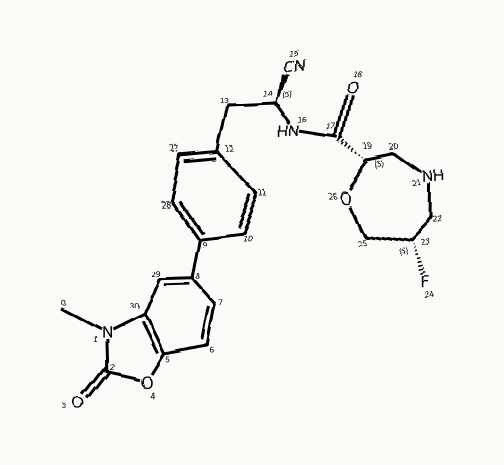 Cn1c(=O)oc2ccc(-c3ccc(C[C@@H](C#N)NC(=O)[C@@H]4CNC[C@H](F)CO4)cc3)cc21